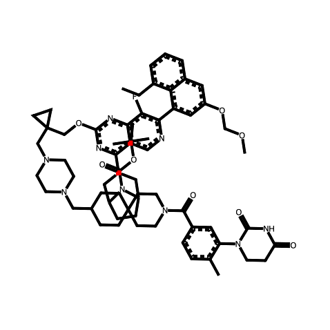 CCc1cccc2cc(OCOC)cc(-c3ncc4c(N5CC6CCC(C5)N6C(=O)OC(C)(C)C)nc(OCC5(CN6CCN(CC7CCC8(CC7)CCN(C(=O)c7ccc(C)c(N9CCC(=O)NC9=O)c7)CC8)CC6)CC5)nc4c3F)c12